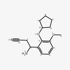 COc1cccc(C(N)CC#N)c1OC1CCCC1